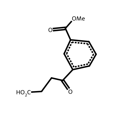 COC(=O)c1cccc(C(=O)CCC(=O)O)c1